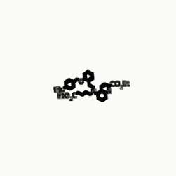 CCOC(=O)CCCCN(CCc1ccccc1OCc1ccc(C(C)(C)C)cc1)C1CCCc2nc(C(=O)OCC)ccc21